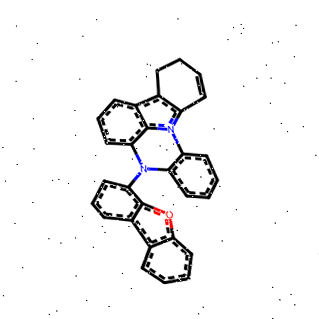 C1=Cc2c(c3cccc4c3n2-c2ccccc2N4c2cccc3c2oc2ccccc23)CC1